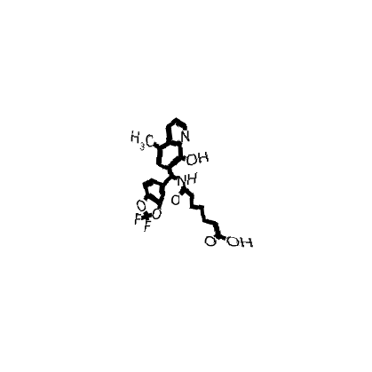 Cc1cc(C(NC(=O)CCCCCC(=O)O)c2ccc3c(c2)OC(F)(F)O3)c(O)c2ncccc12